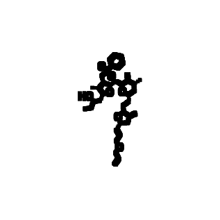 C=CCOC/C=C/[C@H]1CC(=C)C(CC[C@H]2C[C@@H](C)C(=C)C(C[C@@H]3O[C@H](C[C@H](O)CC)[C@H](C)[C@H]3CS(=O)(=O)c3ccccc3)O2)O1